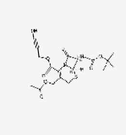 CC(=O)OCC1=C(C(=O)OCC#CO)N2C(=O)[C@@H](NC(=O)OC(C)(C)C)[C@H]2SC1